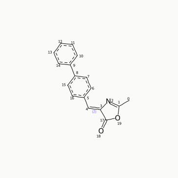 CC1=N/C(=C\c2ccc(-c3ccccc3)cc2)C(=O)O1